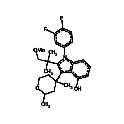 COCC(C)(C)c1c(C2(C)CCOC(C)C2)c2c(O)cccc2n1-c1ccc(F)c(F)c1